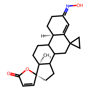 C[C@]12CCC3C(CC4(CC4)C4=CC(=NO)CC[C@@H]43)C1CC[C@@]21C=CC(=O)O1